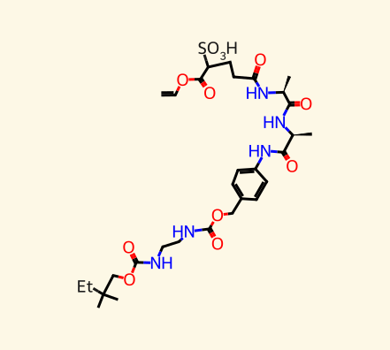 C=COC(=O)C(CCC(=O)N[C@@H](C)C(=O)N[C@@H](C)C(=O)Nc1ccc(COC(=O)NCCNC(=O)OCC(C)(C)CC)cc1)S(=O)(=O)O